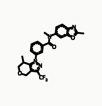 Cc1nc2ccc(N(C)C(=O)c3cccc(-n4nc(C(F)(F)F)c5c4C(C)COC5)c3)cc2o1